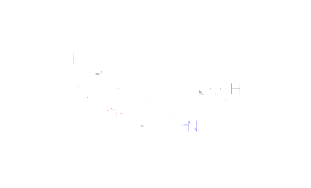 O=C(O)c1cncc(-c2ccc(Oc3ccc(F)cc3)cc2)c1